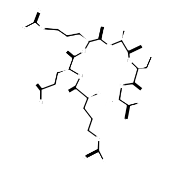 C[C@H](NC(=O)[C@H](CO)NC(=O)[C@H](C)NC(=O)[C@H](CCCNC(=N)N)NC(=O)[C@H](CCC(N)=O)NC(=O)[C@@H](N)CCCNC(=N)N)C(=O)O